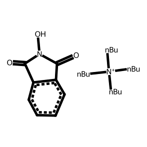 CCCC[N+](CCCC)(CCCC)CCCC.O=C1c2ccccc2C(=O)N1O